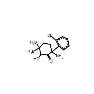 BC1(B)CCC(N)(c2ccccc2Cl)C(=O)C1O